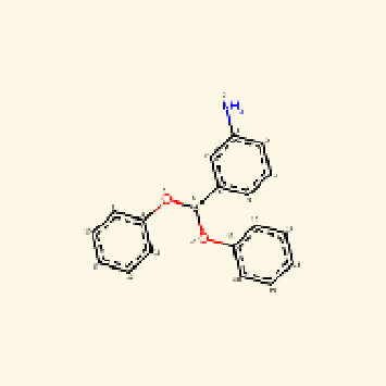 Nc1cccc(B(Oc2ccccc2)Oc2ccccc2)c1